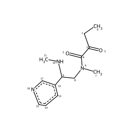 CCC(=O)C(=O)N(C)CC(NC)c1cccnc1